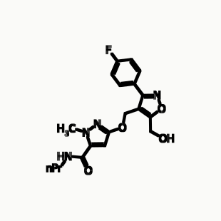 CCCNC(=O)c1cc(OCc2c(-c3ccc(F)cc3)noc2CO)nn1C